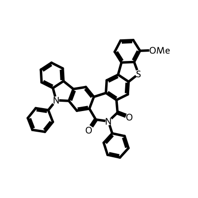 COc1cccc2c1sc1cc3c(=O)n(-c4ccccc4)c(=O)c4cc5c(cc4c3cc12)c1ccccc1n5-c1ccccc1